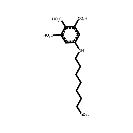 CCCCCCCCCCCCCCCCCNc1cc(C(=O)O)c(C(=O)O)c(C(=O)O)c1